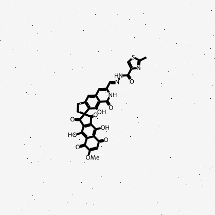 COC1=CC(=O)c2c(O)c3c(c(O)c2C1=O)C(=O)C1(CCc2cc4cc(C=NNC(=O)c5csc(C)n5)[nH]c(=O)c4c(O)c21)C3=O